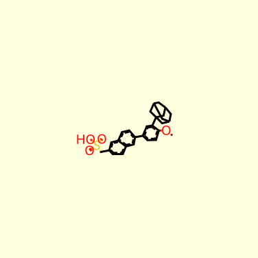 COc1ccc(-c2ccc3cc(CS(=O)(=O)O)ccc3c2)cc1C12CC3CC(CC(C3)C1)C2